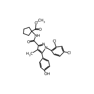 COC(=O)C1(NC(=O)c2nn(-c3ccc(Cl)cc3Cl)c(-c3ccc(O)cc3)c2C)CCCC1